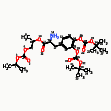 CC(C)OC(=O)OC[C@H](C)OC(=O)[C@@H](N)Cc1ccc(OC(=O)OC(C)(C)C)c(OC(=O)OC(C)(C)C)c1